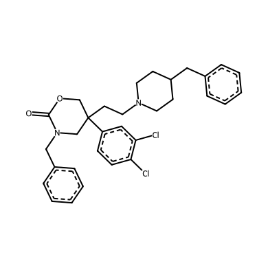 O=C1OCC(CCN2CCC(Cc3ccccc3)CC2)(c2ccc(Cl)c(Cl)c2)CN1Cc1ccccc1